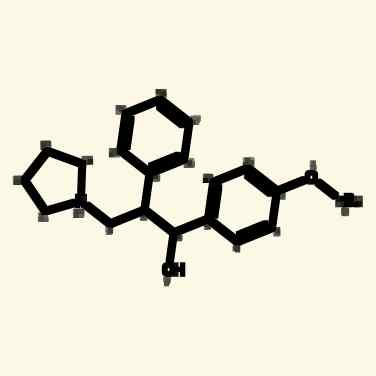 CCCCOc1ccc(C(O)C(CN2CCCC2)c2ccccc2)cc1